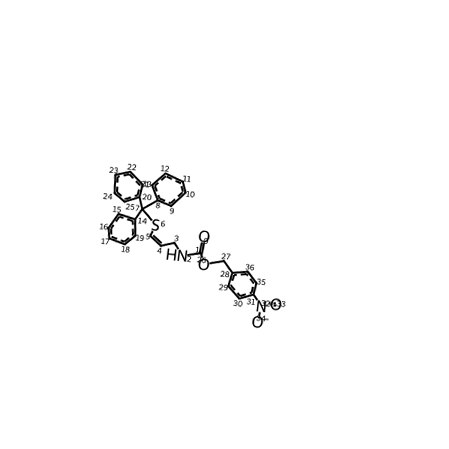 O=C(NC/C=C\SC(c1ccccc1)(c1ccccc1)c1ccccc1)OCc1ccc([N+](=O)[O-])cc1